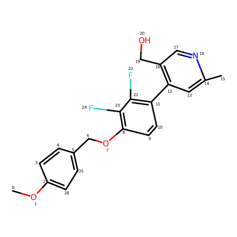 COc1ccc(COc2ccc(-c3cc(C)ncc3CO)c(F)c2F)cc1